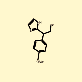 COc1ccc(C(CC(C)=O)c2ncc[nH]2)cc1